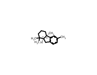 Cc1ccc2c(c1)[C@]1(C)CCCC(C)(C)[C@@H]1C2